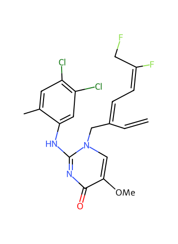 C=C/C(=C\C=C(\F)CF)Cn1cc(OC)c(=O)nc1Nc1cc(Cl)c(Cl)cc1C